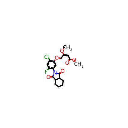 COC(=O)/C=C(\COc1cc(N2C(=O)C3CCCCC3C2=O)c(F)cc1Cl)OC